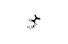 C=C(C)C(=O)O[SiH2]